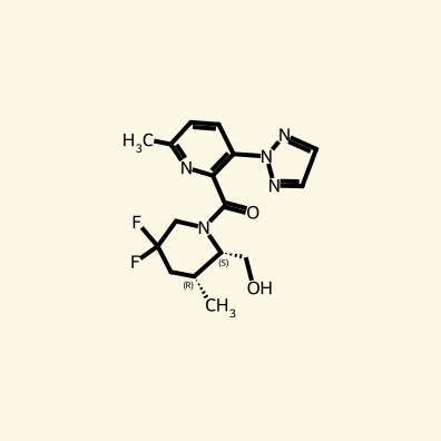 Cc1ccc(-n2nccn2)c(C(=O)N2CC(F)(F)C[C@@H](C)[C@H]2CO)n1